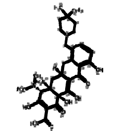 CN(C)[C@H]1C(O)=C(C(N)=O)C(=O)[C@@]2(O)C(O)=C3C(=O)c4c(O)ccc(CN5CCC(C)(C)CC5)c4C[C@H]3C[C@@]12N